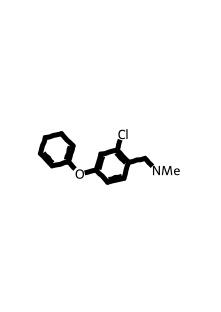 CNCc1ccc(OC2=CCCC=C2)cc1Cl